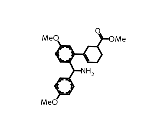 COC(=O)C1CCC=C(c2cc(OC)ccc2C(N)c2ccc(OC)cc2)C1